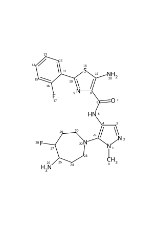 Cn1ncc(NC(=O)c2nc(-c3ccccc3F)sc2N)c1N1CCC(N)C(F)CC1